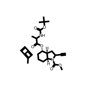 C#CC1C[C@H]2[C@@H](OC(=O)C(C)NC(=O)OC(C)(C)C)CCC[C@H]2N1C(=O)OC.Cc1cc2ccc1-2